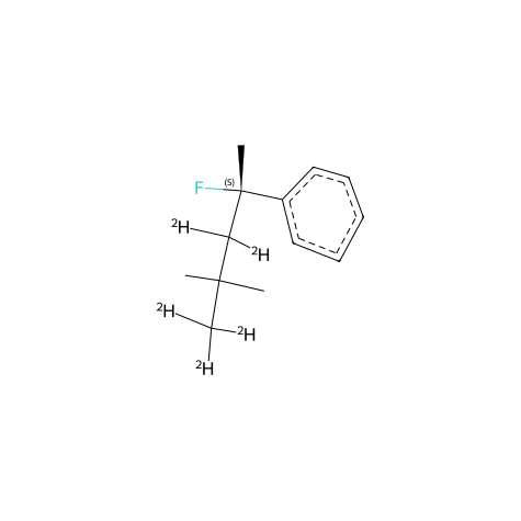 [2H]C([2H])([2H])C(C)(C)C([2H])([2H])[C@](C)(F)c1ccccc1